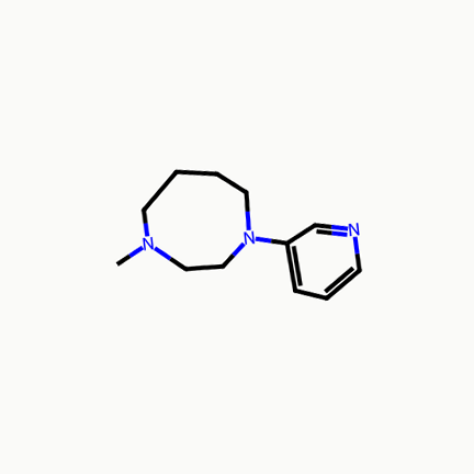 CN1CCCCN(c2cccnc2)CC1